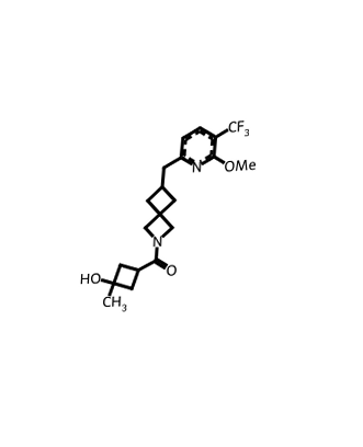 COc1nc(CC2CC3(C2)CN(C(=O)C2CC(C)(O)C2)C3)ccc1C(F)(F)F